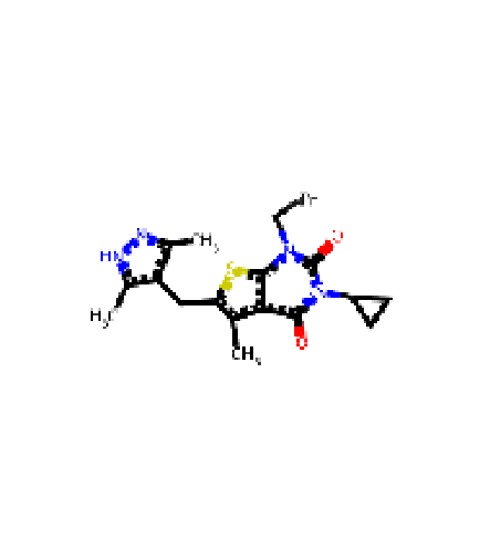 Cc1n[nH]c(C)c1Cc1sc2c(c1C)c(=O)n(C1CC1)c(=O)n2CC(C)C